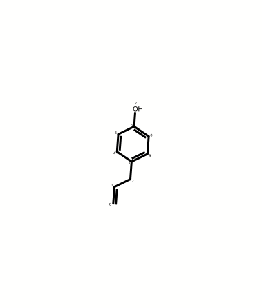 C=CCc1[c]cc(O)cc1